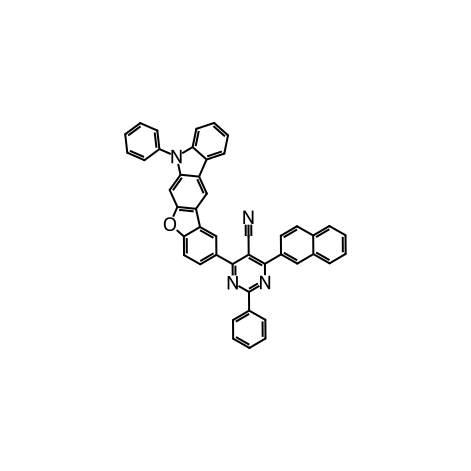 N#Cc1c(-c2ccc3ccccc3c2)nc(-c2ccccc2)nc1-c1ccc2oc3cc4c(cc3c2c1)c1ccccc1n4-c1ccccc1